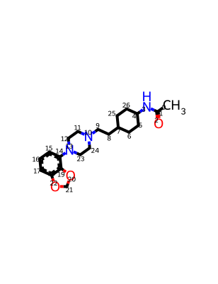 CC(=O)NC1CCC(CCN2CCN(c3cccc4c3OCO4)CC2)CC1